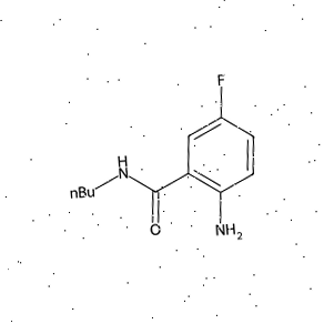 CCCCNC(=O)c1cc(F)ccc1N